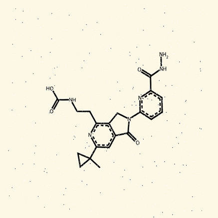 CC1(c2cc3c(c(CCNC(=O)O)n2)CN(c2cccc(C(=O)NN)n2)C3=O)CC1